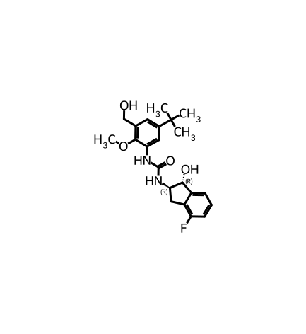 COc1c(CO)cc(C(C)(C)C)cc1NC(=O)N[C@@H]1Cc2c(F)cccc2[C@H]1O